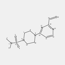 CN(C)S(=O)(=O)N1CCN(c2ccnc(C=O)n2)CC1